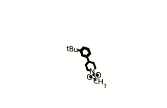 CC(C)(C)c1cccc(C2CCN(S(C)(=O)=O)CC2)c1